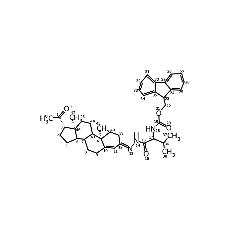 CC(=O)[C@H]1CCC2C3CCC4=C/C(=N/NC(=O)[C@@H](NC(=O)OCC5c6ccccc6-c6ccccc65)C(C)C)CC[C@]4(C)C3CC[C@@]21C